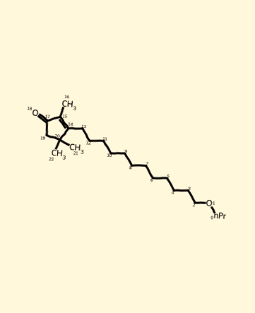 CCCOCCCCCCCCCCCCC1=C(C)C(=O)CC1(C)C